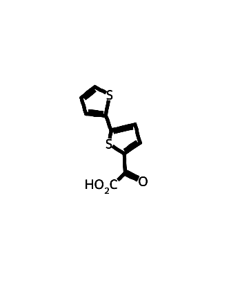 O=C(O)C(=O)c1ccc(-c2cccs2)s1